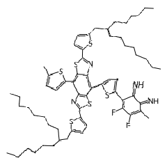 CCCCCCCCC(CCCCCC)Cc1ccc(-c2nc3c(-c4ccc(C5=C(F)C(F)=C(C)C(=N)C5=N)s4)c4sc(-c5ccc(CC(CCCCCC)CCCCCCCC)s5)nc4c(-c4ccc(C)s4)c3s2)s1